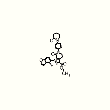 CCOC(=O)c1nn(-c2ccc3occc3c2F)c2c1CCN(c1ccc(N3CCCCC3=O)cc1)C2=O